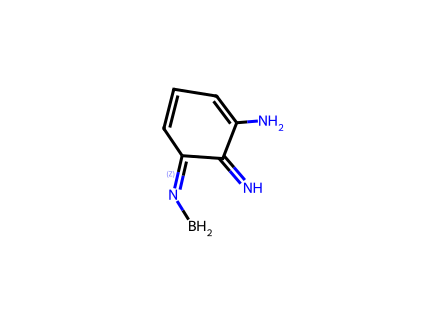 B/N=C1/C=CC=C(N)C1=N